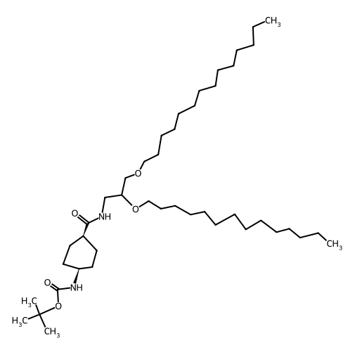 CCCCCCCCCCCCCCOCC(CNC(=O)[C@H]1CC[C@@H](NC(=O)OC(C)(C)C)CC1)OCCCCCCCCCCCCCC